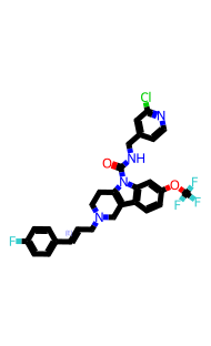 O=C(NCc1ccnc(Cl)c1)n1c2c(c3ccc(OC(F)(F)F)cc31)CN(C/C=C/c1ccc(F)cc1)CC2